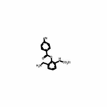 CCCc1ccc(C(=O)Oc2c(CN)cccc2NC(=O)OCC)cc1